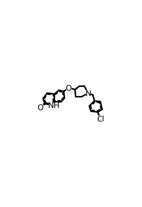 O=c1ccc2cc(OC3CCN(Cc4ccc(Cl)cc4)CC3)ccc2[nH]1